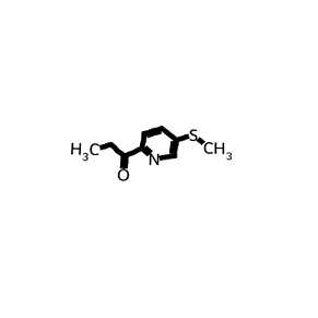 CCC(=O)c1ccc(SC)cn1